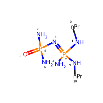 CCCNP(N)(=NP(N)(N)=O)NCCC